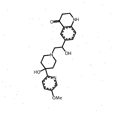 COc1ccc(C2(O)CCN(CC(O)c3ccc4c(c3)C(=O)CCN4)CC2)nc1